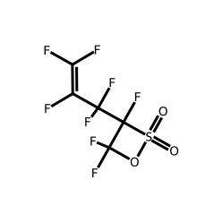 O=S1(=O)OC(F)(F)C1(F)C(F)(F)C(F)=C(F)F